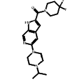 CC(C)N1CCN(c2cc3cc(C(=O)N4CCC(F)(F)CC4)[nH]c3cn2)CC1